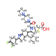 O=C(O)c1cc2c(s1)c(-c1ccccc1)c(-c1ccc3nc(-c4ccc(F)c(F)c4)ccc3c1)n2CC(=O)N1CCC(N2CCCC2)CC1